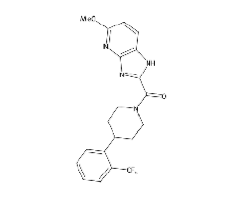 COc1ccc2[nH]c(C(=O)N3CCC(c4ccccc4C(F)(F)F)CC3)nc2n1